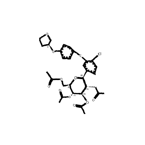 CC(=O)C[C@@H]1[C@@H](OC(C)=O)[C@H](OC(C)=O)[C@@H](COC(C)=O)O[C@H]1c1ccc(Cl)c(Cc2ccc(O[C@H]3CCOC3)cc2)c1